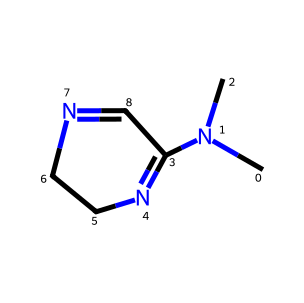 CN(C)C1=NCCN=C1